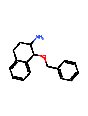 NC1CCc2ccccc2C1OCc1ccccc1